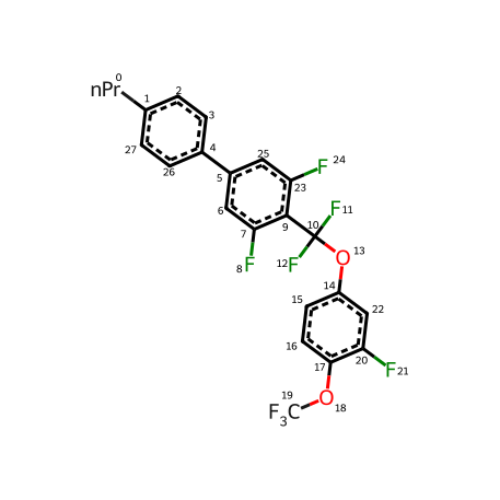 CCCc1ccc(-c2cc(F)c(C(F)(F)Oc3ccc(OC(F)(F)F)c(F)c3)c(F)c2)cc1